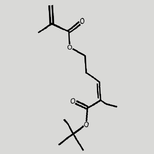 C=C(C)C(=O)OCCC=C(C)C(=O)OC(C)(C)C